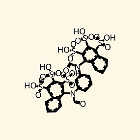 O=CN(c1cccc(N(C=O)c2c(S(=O)(=O)O)c(S(=O)(=O)O)c(S(=O)(=O)O)c3ccccc23)c1)c1c(S(=O)(=O)O)c(S(=O)(=O)O)c(S(=O)(=O)O)c2ccccc12